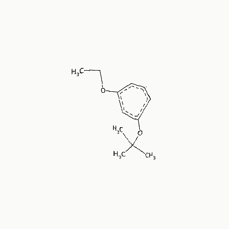 CCOc1c[c]cc(OC(C)(C)C)c1